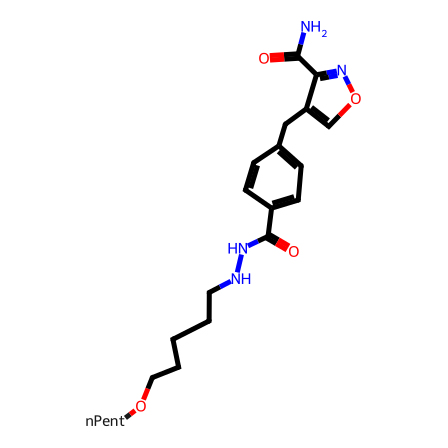 CCCCCOCCCCCNNC(=O)c1ccc(Cc2conc2C(N)=O)cc1